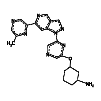 Cc1cncc(-c2cc3c(cn2)cnn3-c2cncc(OC3CCCC(N)C3)n2)n1